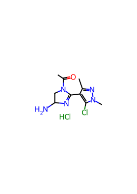 CC(=O)N1CC(N)N=C1c1c(C)nn(C)c1Cl.Cl